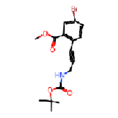 COC(=O)c1cc(Br)ccc1C#CCNC(=O)OC(C)(C)C